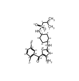 CC(C)CS(=O)(=O)NC1CCC(Nc2nc(N)c(C(=O)c3cc(F)ccc3F)s2)CC1